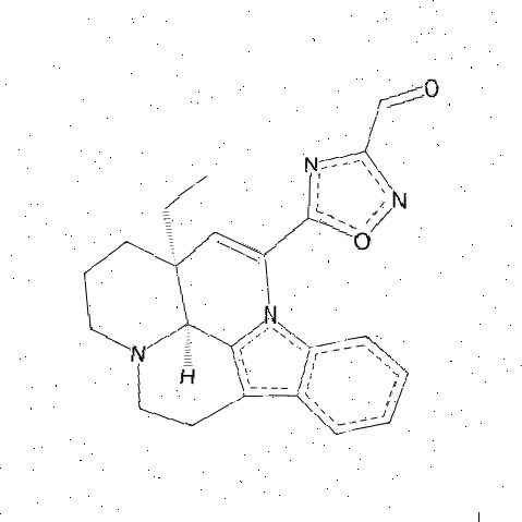 CC[C@@]12C=C(c3nc(C=O)no3)n3c4c(c5ccccc53)CCN(CCC1)[C@H]42